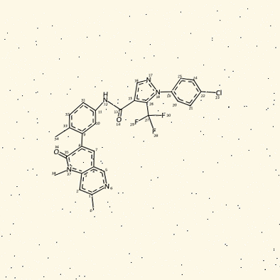 Cc1cc2c(cn1)cc(-c1cc(NC(=O)c3cnn(-c4ccc(Cl)cc4)c3C(F)(F)F)ccc1C)c(=O)n2C